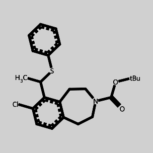 CC(Sc1ccccc1)c1c(Cl)ccc2c1CCN(C(=O)OC(C)(C)C)CC2